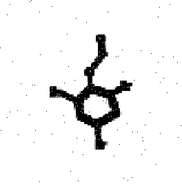 O=[C]Oc1c(Br)cc(Br)cc1Br